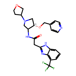 O=C(Cc1nc2c(C(F)(F)F)cccc2[nH]1)NC1CN(C2CCOC2)C[C@@H]1OCc1ccncc1